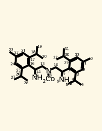 Cc1cc(C(C)C)c(C(N)C[N]([Co])CC(N)c2c(C(C)C)cc(C)cc2C(C)C)c(C(C)C)c1